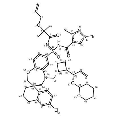 C=CCOC(C)(C)C(=O)N=S(=O)(NC(=O)c1cn(C)nc1C)c1ccc2c(c1)N(C[C@@H]1CC[C@H]1[C@H](C=C)OC1CCCCO1)C[C@@]1(CCCc3cc(Cl)ccc31)CO2